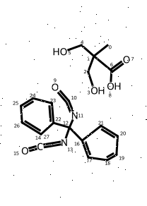 CC(CO)(CO)C(=O)O.O=C=NC(N=C=O)(c1ccccc1)c1ccccc1